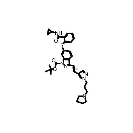 CC(C)(C)OC(=O)n1nc(/C=C/c2cnn(CCCN3CCCC3)c2)c2ccc(Sc3ccccc3C(=O)NC3CC3)cc21